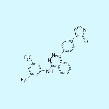 O=C1[N]C=CN1c1ccc(-c2nnc(Nc3cc(C(F)(F)F)cc(C(F)(F)F)c3)c3ccccc23)cc1